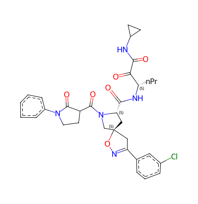 CCC[C@H](NC(=O)[C@@H]1C[C@]2(CC(c3cccc(Cl)c3)=NO2)CN1C(=O)C1CCN(c2ccccc2)C1=O)C(=O)C(=O)NC1CC1